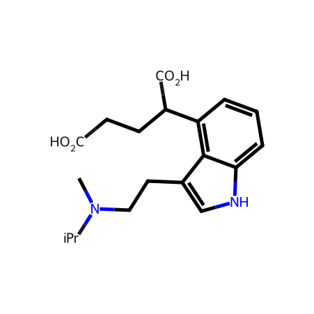 CC(C)N(C)CCc1c[nH]c2cccc(C(CCC(=O)O)C(=O)O)c12